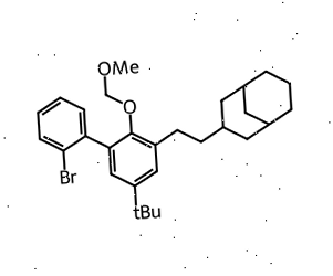 COCOc1c(CCC2CC3CCCC(C3)C2)cc(C(C)(C)C)cc1-c1ccccc1Br